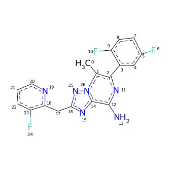 Cc1c(-c2cc(F)ccc2F)nc(N)c2nc(Cc3ncccc3F)nn12